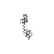 COc1cccc(OC)c1C(=O)N1CCC(CCCCNC(=O)Nc2cccnc2)CC1